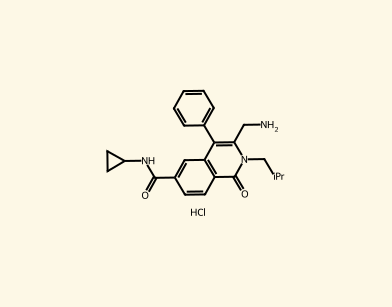 CC(C)Cn1c(CN)c(-c2ccccc2)c2cc(C(=O)NC3CC3)ccc2c1=O.Cl